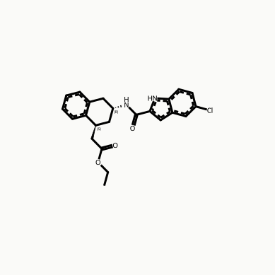 CCOC(=O)C[C@@H]1C[C@@H](NC(=O)c2cc3cc(Cl)ccc3[nH]2)Cc2ccccc21